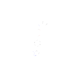 O=C(NC1=CCC=C1)[C@@H]1CCCC[C@H]1C(=O)c1ccc(-c2cc[nH]n2)cc1